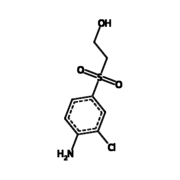 Nc1ccc(S(=O)(=O)CCO)cc1Cl